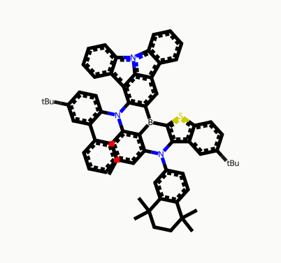 Cc1cc2c3c(c1)N(c1ccc(C(C)(C)C)cc1-c1ccccc1)c1c(cc4c5ccccc5n5c6ccccc6c1c45)B3c1sc3ccc(C(C)(C)C)cc3c1N2c1ccc2c(c1)C(C)(C)CCC2(C)C